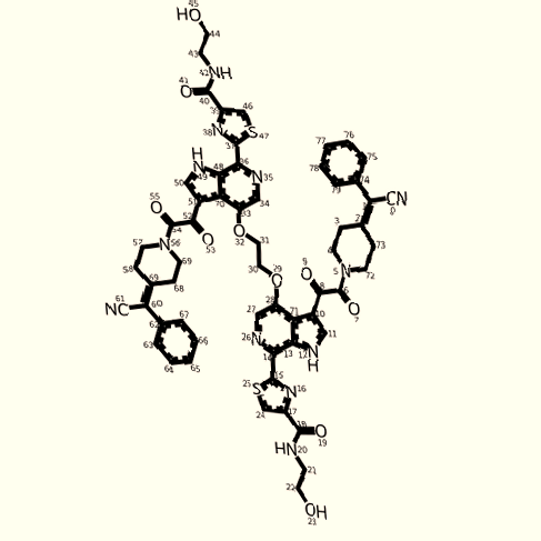 N#CC(=C1CCN(C(=O)C(=O)c2c[nH]c3c(-c4nc(C(=O)NCCO)cs4)ncc(OCCOc4cnc(-c5nc(C(=O)NCCO)cs5)c5[nH]cc(C(=O)C(=O)N6CCC(=C(C#N)c7ccccc7)CC6)c45)c23)CC1)c1ccccc1